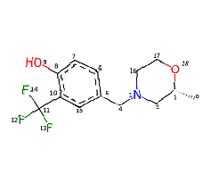 C[C@@H]1CN(Cc2ccc(O)c(C(F)(F)F)c2)CCO1